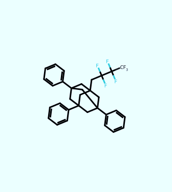 FC(F)(F)C(F)(F)C(F)(F)CC12CC3(c4ccccc4)CC(c4ccccc4)(C1)CC(c1ccccc1)(C2)C3